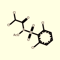 CC(=O)ON(C(=O)C(Cl)Cl)S(=O)(=O)c1c(Cl)cccc1Cl